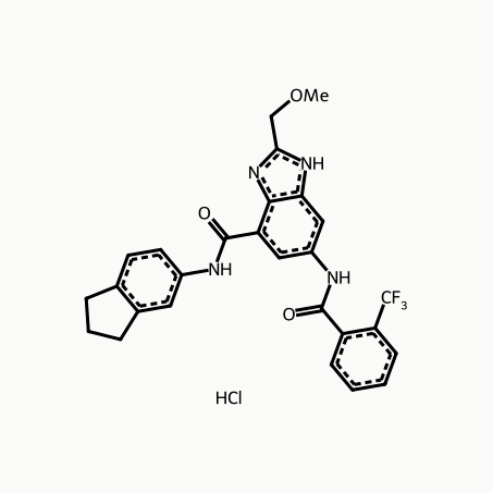 COCc1nc2c(C(=O)Nc3ccc4c(c3)CCC4)cc(NC(=O)c3ccccc3C(F)(F)F)cc2[nH]1.Cl